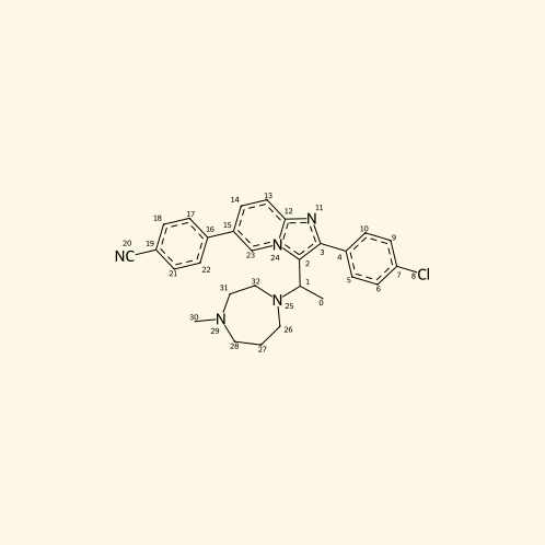 CC(c1c(-c2ccc(Cl)cc2)nc2ccc(-c3ccc(C#N)cc3)cn12)N1CCCN(C)CC1